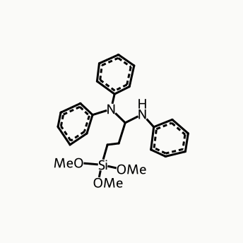 CO[Si](CCC(Nc1ccccc1)N(c1ccccc1)c1ccccc1)(OC)OC